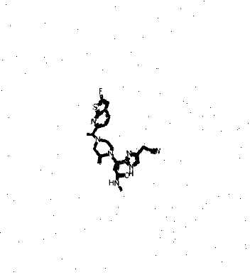 CNC(=O)/C=C(\c1nc(CC#N)c[nH]1)N1CCN(C(C)c2ccc3cc(F)sc3n2)CC1C